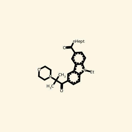 CCCCCCCC(=O)c1ccc2c(c1)c1cc(C(=O)C(C)(C)N3CCOCC3)ccc1n2CC